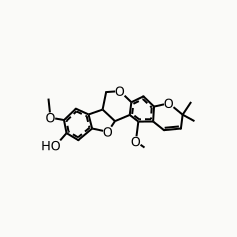 COc1cc2c(cc1O)OC1c3c(cc4c(c3OC)C=CC(C)(C)O4)OCC21